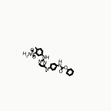 Cc1ccc(Nc2nccc(N(C)c3ccc(NC(=O)Oc4ccccc4)cc3)n2)cc1S(N)(=O)=O